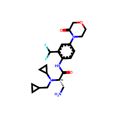 NC[C@@H](C(=O)Nc1ccc(N2CCOCC2=O)cc1C(F)F)N(CC1CC1)C1CC1